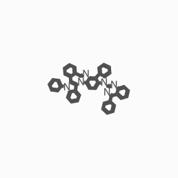 c1ccc(-c2nc(-n3c4ccccc4c4c5nc6c7ccccc7c7c(c8ccccc8n7-c7ccccc7)n6c5ccc43)nc3ccccc23)cc1